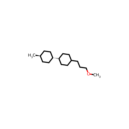 COCCCC1CCC([C@H]2CC[C@H](C)CC2)CC1